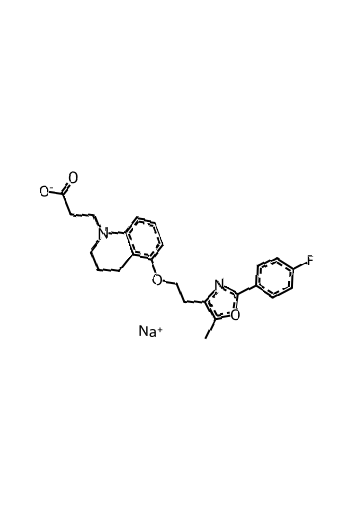 Cc1oc(-c2ccc(F)cc2)nc1CCOc1cccc2c1CCCN2CCC(=O)[O-].[Na+]